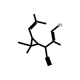 C#CC(C(C)=CCC)C1C(C=C(C)C)C1(C)C